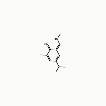 CN/C=C1/C=C(C(C)C)C=C(C)C1=N